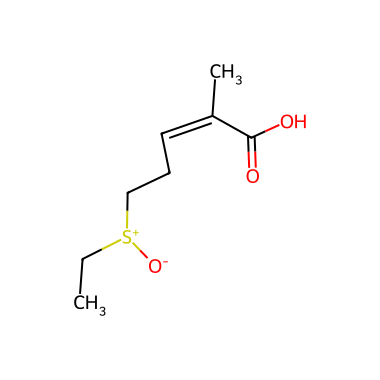 CC[S+]([O-])CCC=C(C)C(=O)O